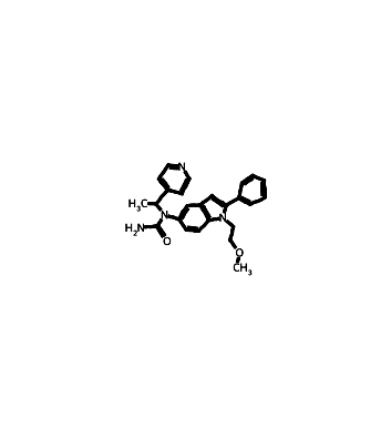 COCCn1c(-c2ccccc2)cc2cc(N(C(N)=O)C(C)c3ccncc3)ccc21